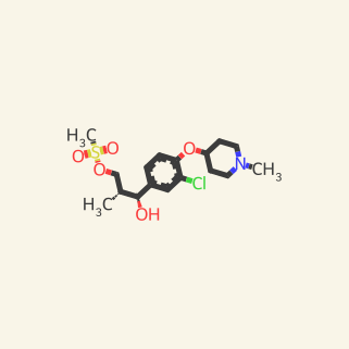 C[C@H](COS(C)(=O)=O)[C@H](O)c1ccc(OC2CCN(C)CC2)c(Cl)c1